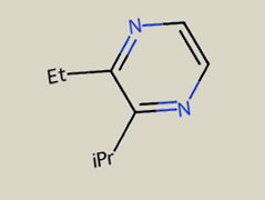 CCc1nccnc1C(C)C